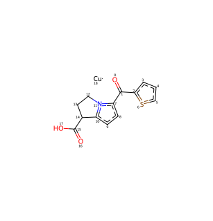 O=C(c1cccs1)c1ccc2n1CCC2C(=O)O.[Cu]